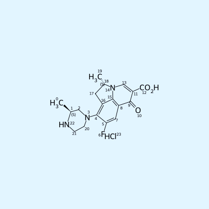 C[C@H]1CN(c2c(F)cc3c(=O)c(C(=O)O)cn4c3c2C[C@@H]4C)CCN1.Cl